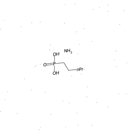 CCCCCP(=O)(O)O.N